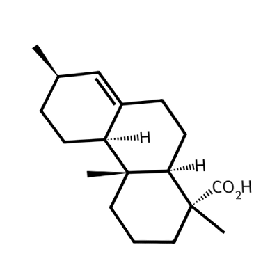 C[C@H]1C=C2CC[C@@H]3[C@](C)(CCC[C@@]3(C)C(=O)O)[C@H]2CC1